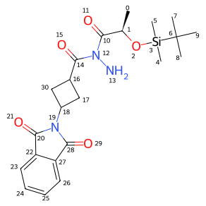 C[C@@H](O[Si](C)(C)C(C)(C)C)C(=O)N(N)C(=O)C1CC(N2C(=O)c3ccccc3C2=O)C1